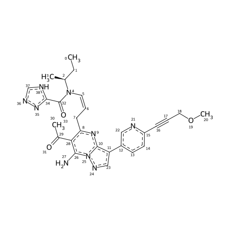 CC[C@H](C)N(/C=C\Cc1nc2c(-c3ccc(C#CCOC)nc3)cnn2c(N)c1C(C)=O)C(=O)c1nnc[nH]1